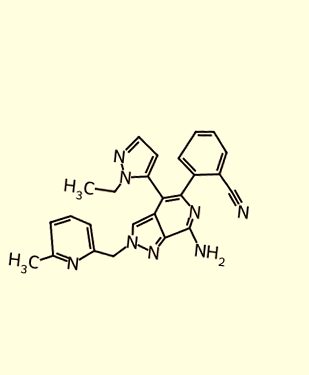 CCn1nccc1-c1c(-c2ccccc2C#N)nc(N)c2nn(Cc3cccc(C)n3)cc12